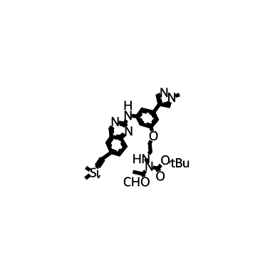 CC(C=O)N(NCCOc1cc(Nc2ncc3cc(C#C[Si](C)(C)C)ccc3n2)cc(-c2cnn(C)c2)c1)C(=O)OC(C)(C)C